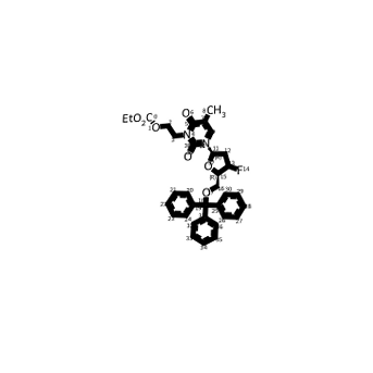 CCOC(=O)OCCn1c(=O)c(C)cn([C@H]2CC(F)[C@@H](COC(c3ccccc3)(c3ccccc3)c3ccccc3)O2)c1=O